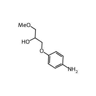 COCC(O)COc1ccc(N)cc1